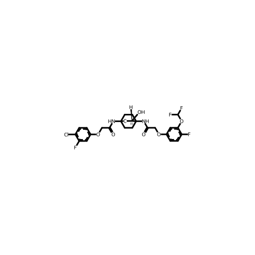 O=C(COc1ccc(Cl)c(F)c1)NC12CCC(NC(=O)COc3ccc(F)c(OC(F)F)c3)(CC1)[C@@H](O)C2